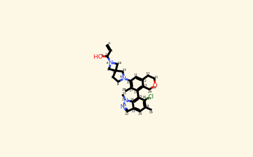 C=CC(O)N1CC2(CCN(c3cc4c(c(-c5c(Cl)c(C)cc6cnn(C)c56)c3C)COCC4)C2)C1